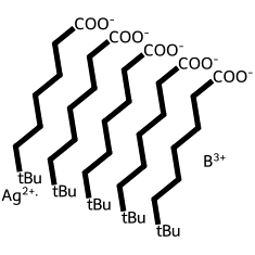 CC(C)(C)CCCCCC(=O)[O-].CC(C)(C)CCCCCC(=O)[O-].CC(C)(C)CCCCCC(=O)[O-].CC(C)(C)CCCCCC(=O)[O-].CC(C)(C)CCCCCC(=O)[O-].[Ag+2].[B+3]